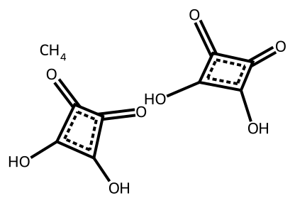 C.O=c1c(O)c(O)c1=O.O=c1c(O)c(O)c1=O